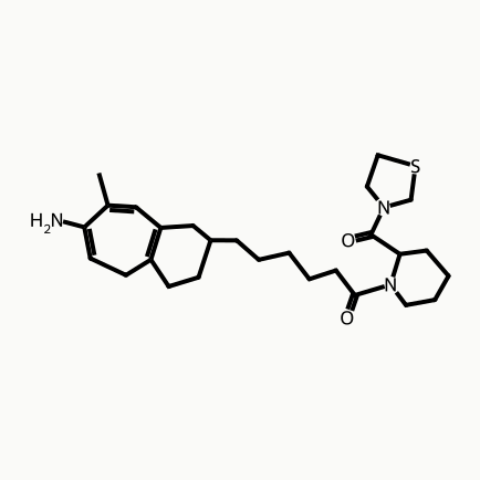 CC1=CC2=C(CC=C1N)CCC(CCCCCC(=O)N1CCCCC1C(=O)N1CCSC1)C2